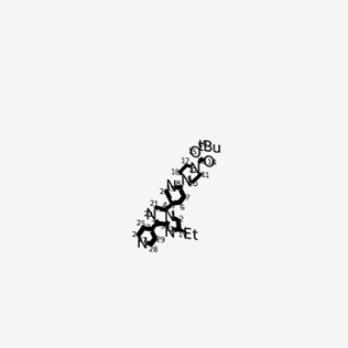 CCc1cn2c(-c3ccc(N4CCN(C(=O)OC(C)(C)C)CC4)nc3)cnc(-c3ccncc3)c2n1